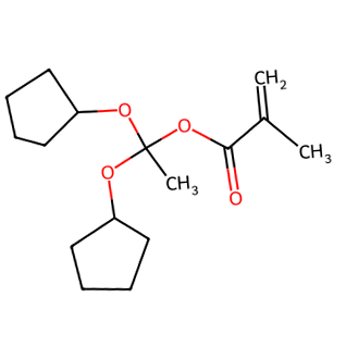 C=C(C)C(=O)OC(C)(OC1CCCC1)OC1CCCC1